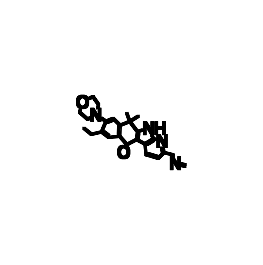 C=NCc1ccc2c3c([nH]c2n1)C(C)(C)c1cc(N2CCOCC2)c(CC)cc1C3=O